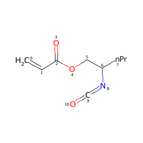 C=CC(=O)OCC(CCC)N=C=O